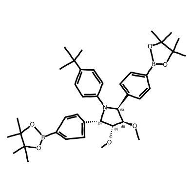 CO[C@H]1[C@H](OC)[C@H](c2ccc(B3OC(C)(C)C(C)(C)O3)cc2)N(c2ccc(C(C)(C)C)cc2)[C@H]1c1ccc(B2OC(C)(C)C(C)(C)O2)cc1